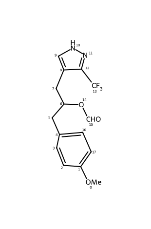 COc1ccc(CC(Cc2c[nH]nc2C(F)(F)F)OC=O)cc1